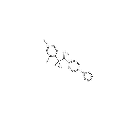 C=C(c1ccc(-n2ccnc2)nc1)C1(c2ccc(F)cc2F)CO1